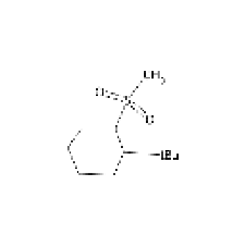 CC(C)(C)C1CCCCC1S(C)(=O)=O